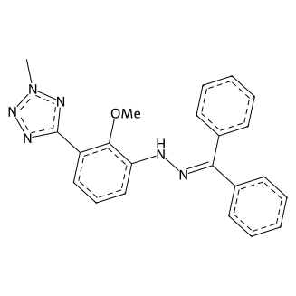 COc1c(NN=C(c2ccccc2)c2ccccc2)cccc1-c1nnn(C)n1